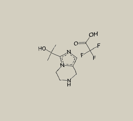 CC(C)(O)c1ncc2n1CCNC2.O=C(O)C(F)(F)F